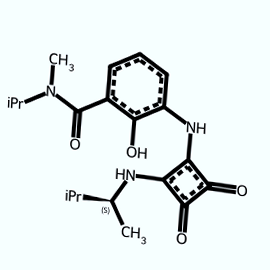 CC(C)[C@H](C)Nc1c(Nc2cccc(C(=O)N(C)C(C)C)c2O)c(=O)c1=O